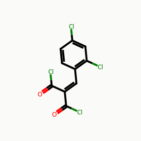 O=C(Cl)C(=Cc1ccc(Cl)cc1Cl)C(=O)Cl